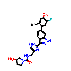 CCc1cc(O)c(F)cc1-c1ccc2c(-c3nc(CNC(=O)N4CC[C@@H](O)C4)c[nH]3)n[nH]c2c1